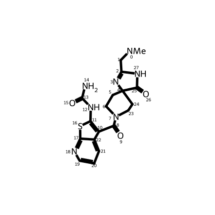 CNCC1=NC2(CCN(C(=O)c3c(NC(N)=O)sc4ncccc34)CC2)C(=O)N1